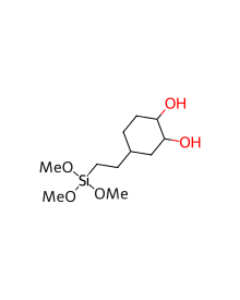 CO[Si](CCC1CCC(O)C(O)C1)(OC)OC